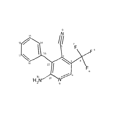 N#Cc1c(C(F)(F)F)cnc(N)c1-c1ccccc1